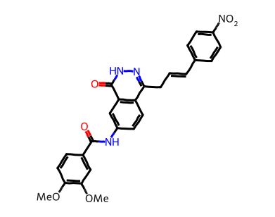 COc1ccc(C(=O)Nc2ccc3c(CC=Cc4ccc([N+](=O)[O-])cc4)n[nH]c(=O)c3c2)cc1OC